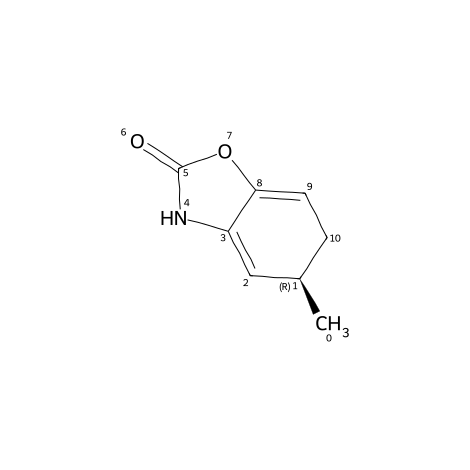 C[C@H]1C=c2[nH]c(=O)oc2=CC1